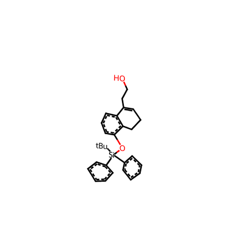 CC(C)(C)[Si](Oc1cccc2c1CCC=C2CCO)(c1ccccc1)c1ccccc1